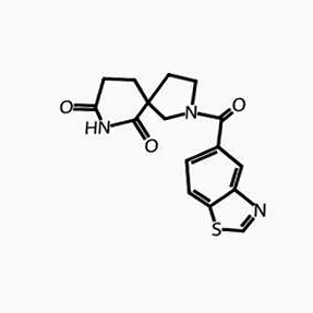 O=C1CCC2(CCN(C(=O)c3ccc4scnc4c3)C2)C(=O)N1